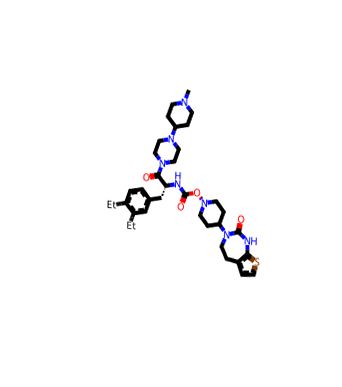 CCc1ccc(C[C@@H](NC(=O)ON2CCC(N3CCc4ccsc4NC3=O)CC2)C(=O)N2CCN(C3CCN(C)CC3)CC2)cc1CC